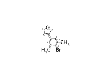 Cc1cc(C2=CCOC2)cc(C)c1Br